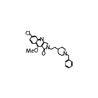 COc1c2c(nc3cc(Cl)ccc13)CN(CCC1CCN(Cc3ccccc3)CC1)C2=O